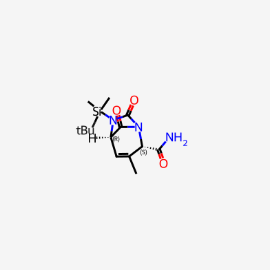 CC1=C[C@@H]2C(=O)N(C(=O)N2[Si](C)(C)C(C)(C)C)[C@@H]1C(N)=O